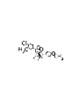 COc1ccc(C2=NC3(CCCCC3)N(CC(=O)c3ccc(Cl)c(C)c3)C2=O)cc1